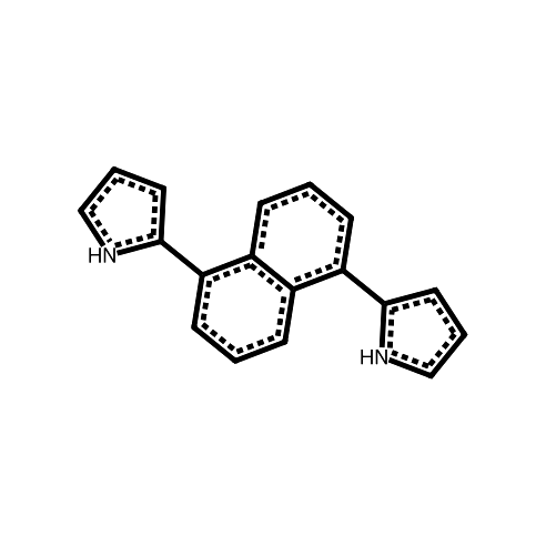 c1c[nH]c(-c2cccc3c(-c4ccc[nH]4)cccc23)c1